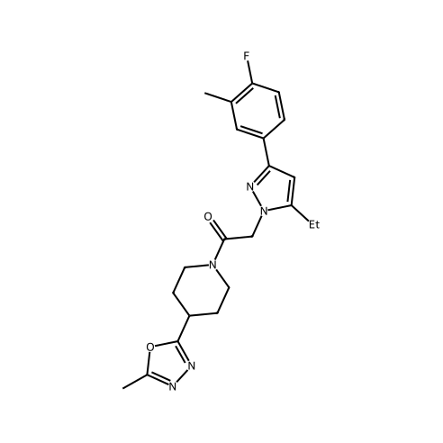 CCc1cc(-c2ccc(F)c(C)c2)nn1CC(=O)N1CCC(c2nnc(C)o2)CC1